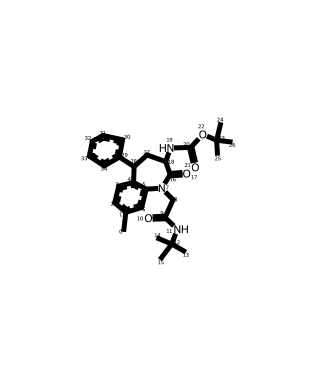 Cc1ccc2c(c1)N(CC(=O)NC(C)(C)C)C(=O)C(NC(=O)OC(C)(C)C)CC2c1ccccc1